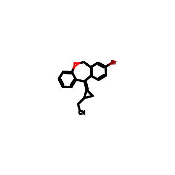 N#CCC1C/C1=C1\c2ccc(Br)cc2COc2ccccc21